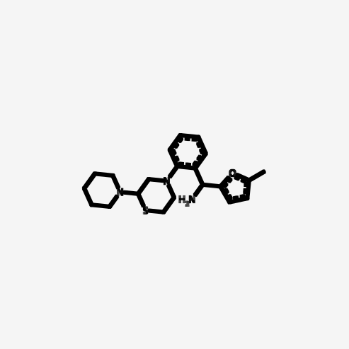 Cc1ccc(C(N)c2ccccc2N2CCSC(N3CCCCC3)C2)o1